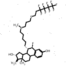 C=C1[C@H](O)CC2C3C(CC[C@]12C)c1ccc(O)cc1[C@H](F)[C@H]3CCCCCN(C)CCCSCCC(F)(F)C(F)(F)C(F)(F)C(F)(F)F